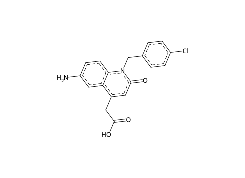 Nc1ccc2c(c1)c(CC(=O)O)cc(=O)n2Cc1ccc(Cl)cc1